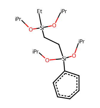 CC[Si](CC[Si](OC(C)C)(OC(C)C)c1ccccc1)(OC(C)C)OC(C)C